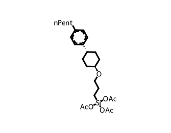 CCCCCc1ccc([C@H]2CC[C@H](OCCC[Si](OC(C)=O)(OC(C)=O)OC(C)=O)CC2)cc1